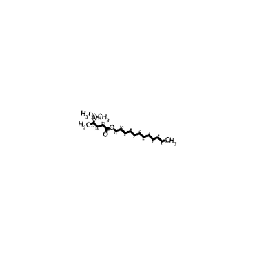 CCCCCCCCCCCCOC(=O)CCC(C)N(C)C